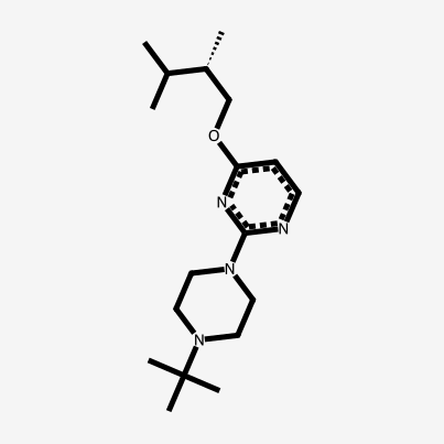 CC(C)[C@H](C)COc1ccnc(N2CCN(C(C)(C)C)CC2)n1